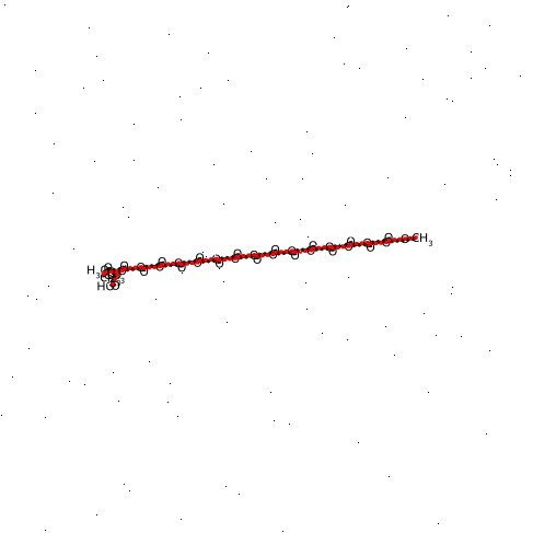 CCCCOCCCCCC(=O)OCCCCCC(=O)OCCCCCC(=O)OCCCCCC(=O)OCCCCCC(=O)OCCCCCC(=O)OCCCCCC(=O)OCCCCCC(=O)OCCCCCC(=O)OCCCCCC(=O)OCCCCCC(=O)OCCCCCC(=O)OCCCCCC(=O)OCCCCCC(=O)OCCCCCC(=O)OCC(COC(=O)C(C)(C)CC)OC(=O)CCC(=O)O